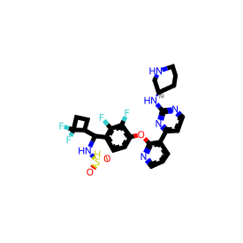 O=[SH](=O)NC(c1ccc(Oc2ncccc2-c2ccnc(N[C@H]3CCCNC3)n2)c(F)c1F)C1CCC1(F)F